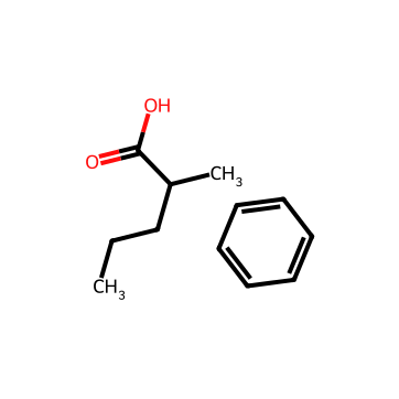 CCCC(C)C(=O)O.c1ccccc1